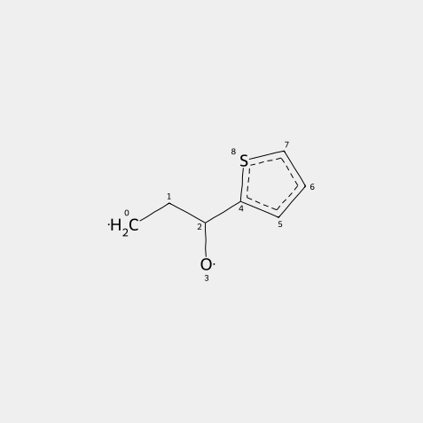 [CH2]CC([O])c1cccs1